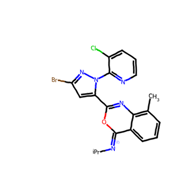 Cc1cccc2/c(=N/C(C)C)oc(-c3cc(Br)nn3-c3ncccc3Cl)nc12